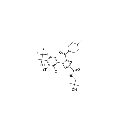 CC(C)(O)CNC(=O)c1nc(C(=O)N2CCC(F)CC2)c(-c2ccc(C(C)(O)C(F)(F)F)c(Cl)c2Cl)s1